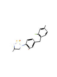 Cc1ccc(Cc2ccc(N3CC(C=O)NS3(=O)=O)c(O)c2)c(F)c1